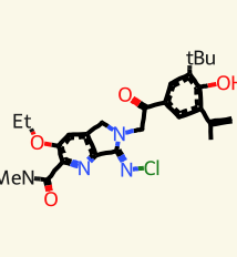 C=C(C)c1cc(C(=O)CN2Cc3cc(OCC)c(C(=O)NC)nc3/C2=N/Cl)cc(C(C)(C)C)c1O